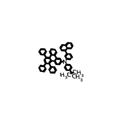 CC(C)(C)c1ccc(N(c2cccc(-c3cccc4ccccc34)c2)c2ccc3c(c2)c2ccccc2c2c(-c4ccccc4)cc(-c4ccccc4)c(-c4ccccc4)c32)cc1